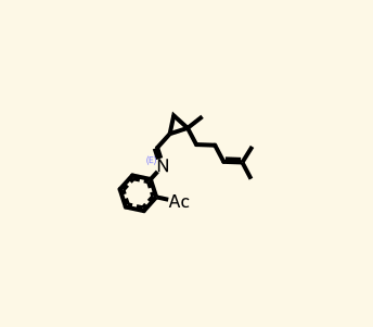 CC(=O)c1ccccc1/N=C/C1CC1(C)CCC=C(C)C